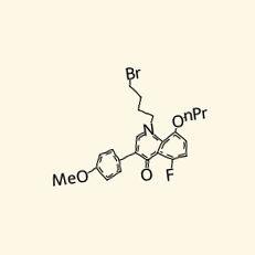 CCCOc1ccc(F)c2c(=O)c(-c3ccc(OC)cc3)cn(CCCCBr)c12